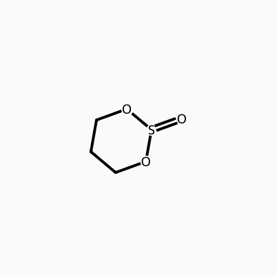 O=S1OCCCO1